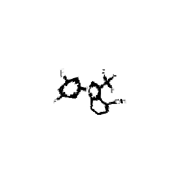 OC1CCCc2c1c(C(F)(F)F)cn2-c1cc(F)cc(F)c1